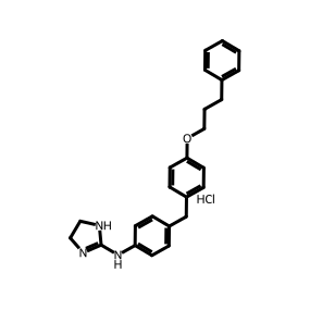 Cl.c1ccc(CCCOc2ccc(Cc3ccc(NC4=NCCN4)cc3)cc2)cc1